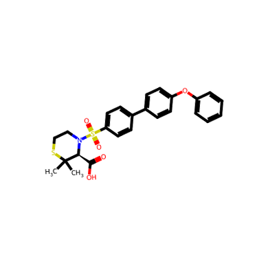 CC1(C)SCCN(S(=O)(=O)c2ccc(-c3ccc(Oc4ccccc4)cc3)cc2)[C@H]1C(=O)O